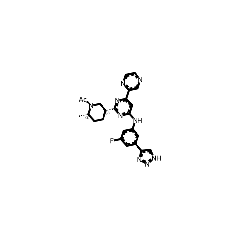 CC(=O)N1C[C@H](c2nc(Nc3cc(F)cc(-c4c[nH]nn4)c3)cc(-c3cnccn3)n2)CC[C@@H]1C